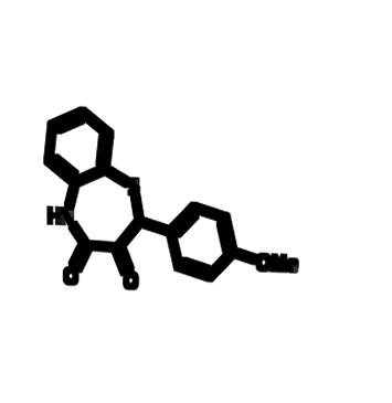 COc1ccc(C2Sc3ccccc3NC(=O)C2=O)cc1